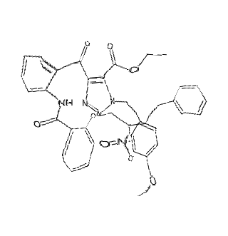 CCOC(=O)c1c(C(=O)c2ccccc2NC(=O)c2ccccc2OCC(CCc2ccccc2)[N+](=O)[O-])nnn1Cc1ccc(OC)cc1